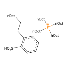 CCCCCCCCCCCCc1ccccc1S(=O)(=O)O.CCCCCCCC[PH](CCCCCCCC)(CCCCCCCC)CCCCCCCC